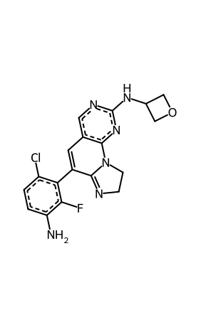 Nc1ccc(Cl)c(C2=Cc3cnc(NC4COC4)nc3N3CCN=C23)c1F